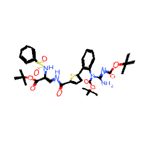 CC(C)(C)OC(=O)N=C(N)N(C(=O)OC(C)(C)C)c1ccccc1-c1ccc(C(=O)NCC(NS(=O)(=O)c2ccccc2)C(=O)OC(C)(C)C)s1